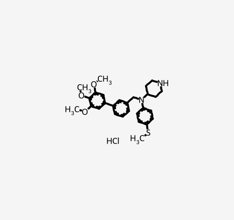 COc1cc(-c2cccc(CN(c3ccc(SC)cc3)C3CCNCC3)c2)cc(OC)c1OC.Cl